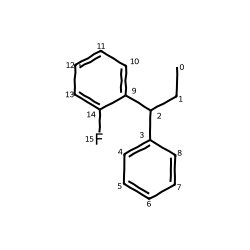 CCC(c1ccccc1)c1cc[c]cc1F